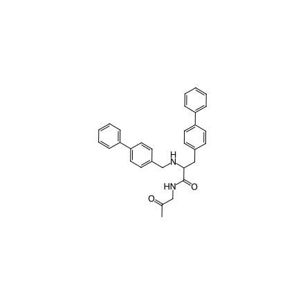 CC(=O)CNC(=O)C(Cc1ccc(-c2ccccc2)cc1)NCc1ccc(-c2ccccc2)cc1